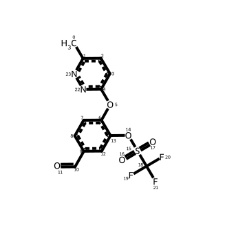 Cc1ccc(Oc2ccc(C=O)cc2OS(=O)(=O)C(F)(F)F)nn1